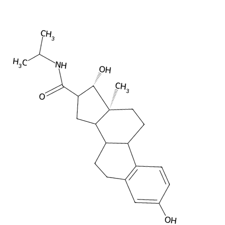 CC(C)NC(=O)C1CC2C3CCc4cc(O)ccc4C3CC[C@]2(C)[C@H]1O